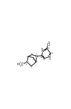 CN1CC2CC1CN2c1cncc(Cl)n1